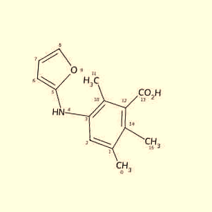 Cc1cc(Nc2ccco2)c(C)c(C(=O)O)c1C